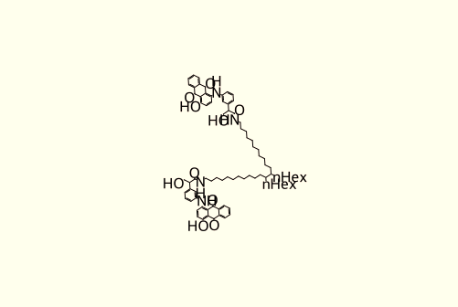 CCCCCCC(CCCCCCCCCCCNC(=O)C(CO)c1cccc(Nc2ccc(O)c3c2C(=O)c2ccccc2C3=O)c1)C(CCCCCC)CCCCCCCCCCCNC(=O)C(CO)c1cccc(Nc2ccc(O)c3c2C(=O)c2ccccc2C3=O)c1